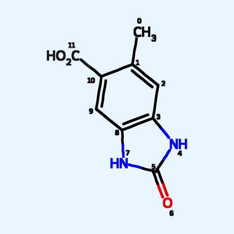 Cc1cc2[nH]c(=O)[nH]c2cc1C(=O)O